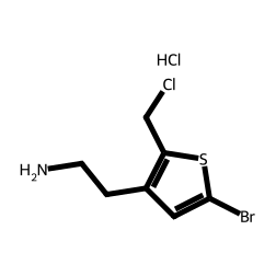 Cl.NCCc1cc(Br)sc1CCl